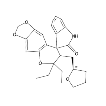 CCC1(CC)Oc2cc3c(cc2C2(C(=O)Nc4ccccc42)C1C[C@H]1CCCO1)OCO3